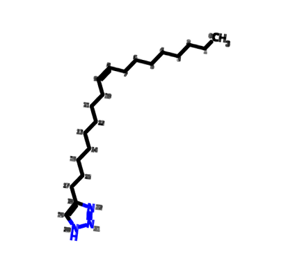 CCCCCCCC/C=C\CCCCCCCCc1c[nH]nn1